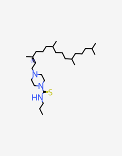 CCCNC(=S)N1CCN(C/C=C(\C)CCCC(C)CCCC(C)CCCC(C)C)CC1